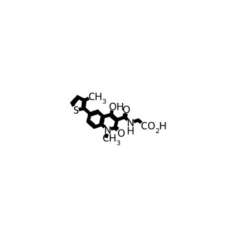 Cc1ccsc1-c1ccc2c(c1)c(O)c(C(=O)NCC(=O)O)c(=O)n2C